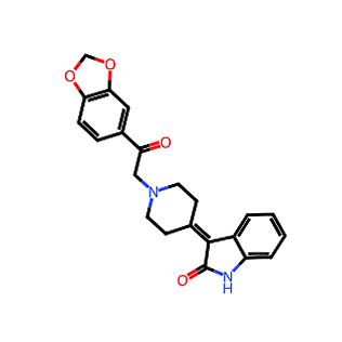 O=C1Nc2ccccc2C1=C1CCN(CC(=O)c2ccc3c(c2)OCO3)CC1